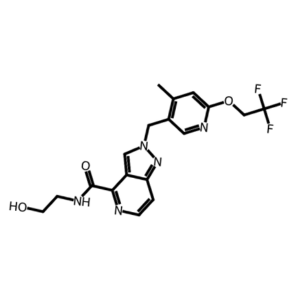 Cc1cc(OCC(F)(F)F)ncc1Cn1cc2c(C(=O)NCCO)nccc2n1